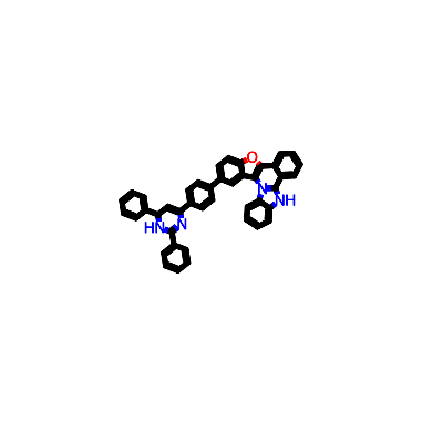 C1=C(c2ccc(-c3ccc4oc5c(c4c3)N3c4ccccc4NC3c3ccccc3-5)cc2)N=C(c2ccccc2)NC1c1ccccc1